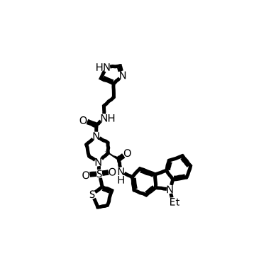 CCn1c2ccccc2c2cc(NC(=O)[C@@H]3CN(C(=O)NCCc4c[nH]cn4)CCN3S(=O)(=O)C3=CCCS3)ccc21